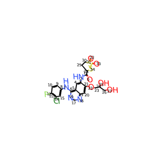 O=C(Nc1cc2c(Nc3ccc(F)c(Cl)c3)ncnc2cc1OCC(O)CO)C1CCS(=O)(=O)S1